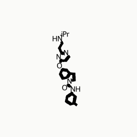 Cc1cccc(NC(=O)n2ccc3cc(Oc4ccnc(CCNC(C)C)n4)ccc32)c1